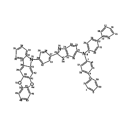 c1ccc(-c2ccc(N(c3ccc(-c4ccccc4)cc3)c3ccc4nc(-c5ccc(-n6c7ccccc7c7cc8c(cc76)Oc6ccccc6O8)cc5)sc4c3)cc2)cc1